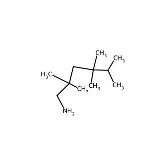 CC(C)C(C)(C)CC(C)(C)CN